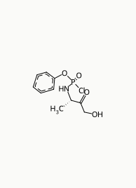 C[C@H](NP(=O)(Cl)Oc1ccccc1)C(=O)CO